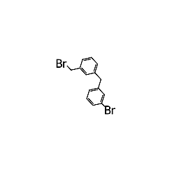 BrCc1cccc(Cc2cccc(Br)c2)c1